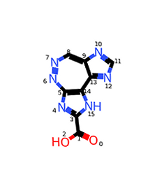 O=C(O)c1nc2nncc3ncnc-3c2[nH]1